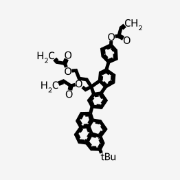 C=CC(=O)OCCCC1(COC(=O)C=C)c2cc(-c3ccc(OC(=O)C=C)cc3)ccc2-c2ccc(-c3ccc4ccc5cc(C(C)(C)C)cc6ccc3c4c56)cc21